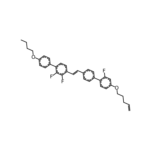 C=CCCCOc1ccc(-c2ccc(/C=C/c3ccc(-c4ccc(OCCCC)cc4)c(F)c3F)cc2)c(F)c1